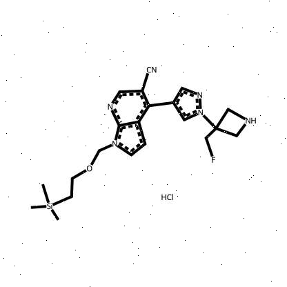 C[Si](C)(C)CCOCn1ccc2c(-c3cnn(C4(CF)CNC4)c3)c(C#N)cnc21.Cl